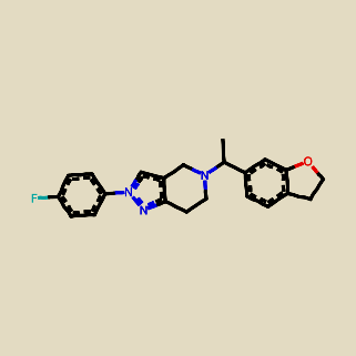 CC(c1ccc2c(c1)OCC2)N1CCc2nn(-c3ccc(F)cc3)cc2C1